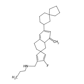 C=C1C=C(C2CCCC3(CCCC3)C2)C=C2CCC3(C=C(F)C(CNCCC)=C3)CC12